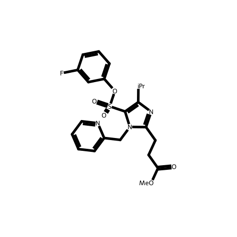 COC(=O)CCc1nc(C(C)C)c(S(=O)(=O)Oc2cccc(F)c2)n1Cc1ccccn1